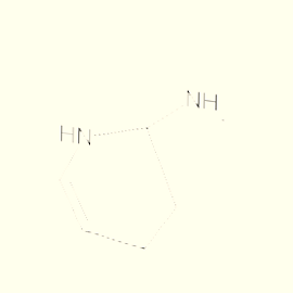 NC1CCC=CN1